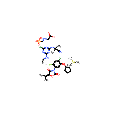 CC(C)=C1OC(=O)N(c2cc(OC3CCCC3)c(Cl)cc2F)C1=O.CCNc1nc(Cl)nc(NC(C)(C)C#N)n1.C[S+](C)C.O=C(O)CNCP(=O)([O-])O